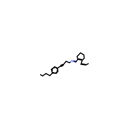 C/C=C\C1=C(/C=N/CCC#Cc2ccc(CCCC)cc2)CCCC1